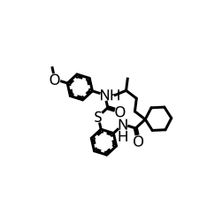 COc1ccc(NC(=O)Sc2ccccc2NC(=O)C2(CCC(C)C)CCCCC2)cc1